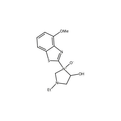 CCN1CC(O)[N+]([O-])(c2nc3c(OC)cccc3s2)C1